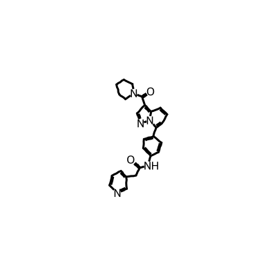 O=C(Cc1cccnc1)Nc1ccc(-c2cccc3c(C(=O)N4CCCCC4)cnn23)cc1